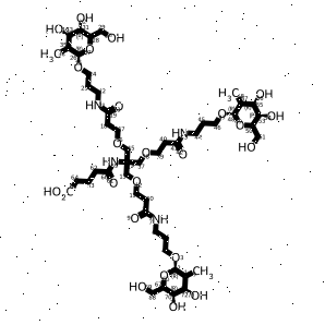 CC1[C@H](OCCCNC(=O)CCOCC(COCCC(=O)NCCCO[C@@H]2OC(CO)[C@H](O)[C@H](O)C2C)(COCCC(=O)NCCCO[C@@H]2OC(CO)[C@H](O)[C@H](O)C2C)NC(=O)CCCC(=O)O)OC(CO)[C@H](O)[C@@H]1O